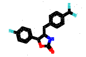 O=C1NC(Cc2ccc(C(F)F)cc2)C(c2ccc(F)cc2)O1